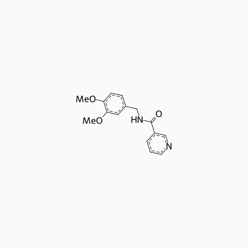 COc1ccc(CNC(=O)c2cccnc2)cc1OC